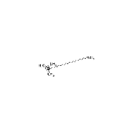 CCO[Si](CCCCCCCCCCCCCCCCCCCCCCN)(OCC)OCC